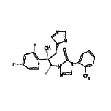 C[C@@H](n1ncn(-c2ccccc2C(F)(F)F)c1=O)[C@](O)(Cn1cncn1)c1ccc(F)cc1F